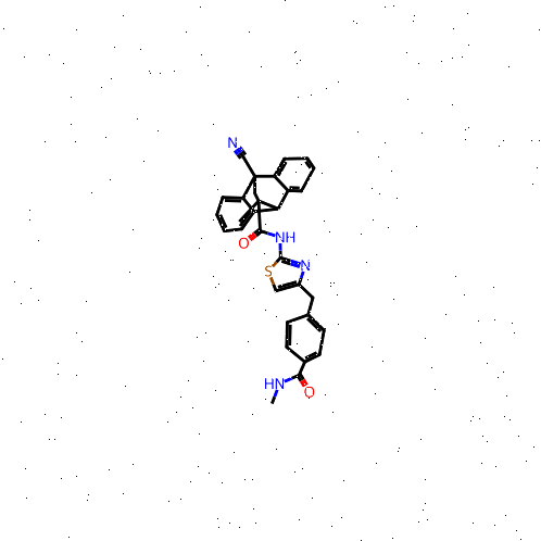 CNC(=O)c1ccc(Cc2csc(NC(=O)C3(C)CC4(C#N)c5ccccc5C3c3ccccc34)n2)cc1